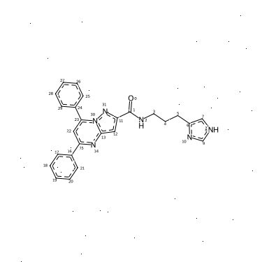 O=C(NCCCc1c[nH]cn1)c1cc2nc(-c3ccccc3)cc(-c3ccccc3)n2n1